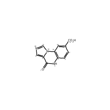 O=C(O)c1ccc2[nH]c(=O)c3cncn3c2c1